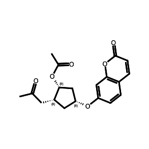 CC(=O)C[C@H]1C[C@@H](Oc2ccc3ccc(=O)oc3c2)C[C@H]1OC(C)=O